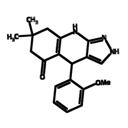 COc1ccccc1C1C2=C(CC(C)(C)CC2=O)Nc2n[nH]cc21